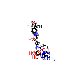 CC(CO)N(C[C@H]1O[C@@H](n2cnc3c(N)ncnc32)[C@H](O)[C@@H]1O)C1CC(C(O)Cc2nc3cc(C(C)(C)CO)ccc3[nH]2)C1